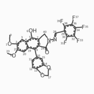 COc1cc2c(O)c3c(c(-c4ccc5c(c4)OCO5)c2cc1OC)C(=O)N(/N=C/c1c(F)c(F)c(F)c(F)c1F)C3